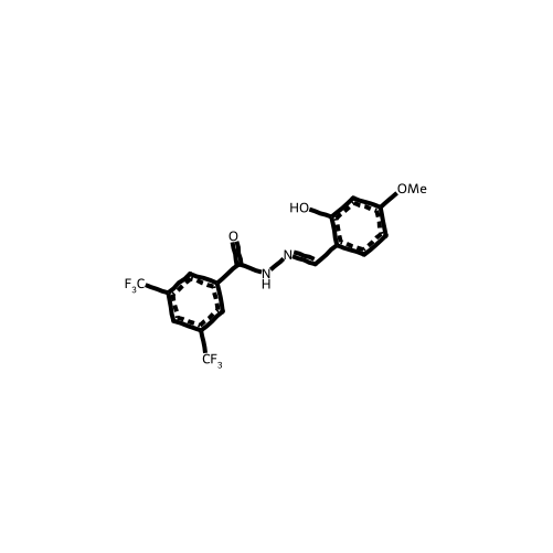 COc1ccc(/C=N/NC(=O)c2cc(C(F)(F)F)cc(C(F)(F)F)c2)c(O)c1